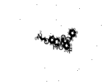 CN(C)CCOc1ccc2c(c1)CCN(C(=O)c1c(O)cc(F)cc1OCc1ccccc1)C2